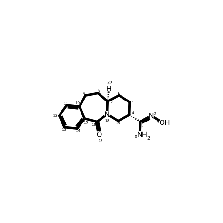 NC(=NO)[C@H]1CC[C@@H]2CCc3ccccc3C(=O)N2C1